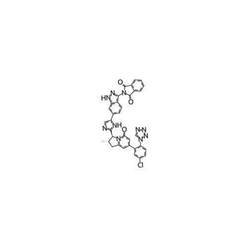 C[C@H]1Cc2cc(-c3cc(Cl)ccc3-n3cnnn3)cc(=O)n2[C@@H]1c1ncc(-c2ccc3c(N4C(=O)c5ccccc5C4=O)n[nH]c3c2)[nH]1